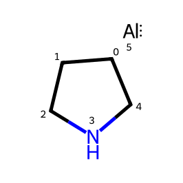 C1CCNC1.[Al]